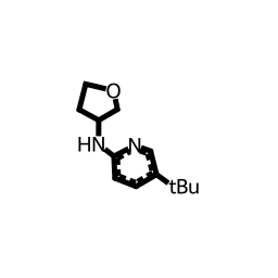 CC(C)(C)c1ccc(NC2CCOC2)nc1